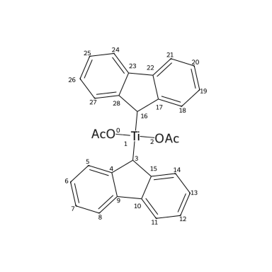 CC(=O)[O][Ti]([O]C(C)=O)([CH]1c2ccccc2-c2ccccc21)[CH]1c2ccccc2-c2ccccc21